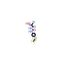 N#CC(=NO)C(=O)NC(=O)Nc1ccc(OC(F)(F)C(F)F)cc1